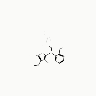 N.N.N.N.N#Cc1c(N(CC(=O)O)c2ccccc2CC(=O)O)sc(C(=O)O)c1CC(=O)O